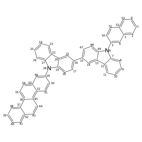 c1ccc2cc(-n3c4ccccc4c4cc(-c5ccc6c(c5)c5ccccc5n6-c5ccc6c(ccc7c8ccccc8ccc67)c5)ccc43)ccc2c1